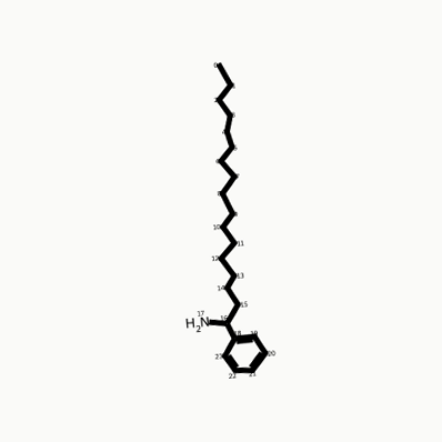 CCCCCCCCCCCCCCCCC(N)c1ccccc1